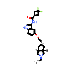 O=C(Nc1c[nH]c2ccc(OCC[C@@H]3C[C@@H]4CN(CC(F)(F)F)C[C@@H]4C3)cc12)C1CC(F)(F)C1